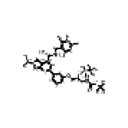 Cc1cc(C)c(CNC(O)c2cc(-c3cccc(OCC(CNC(=O)OC(C)(C)C)O[Si](C)(C)C(C)(C)C)c3)nc3nn(C(C)C)cc23)c(=O)[nH]1